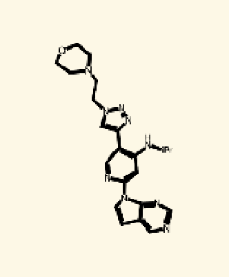 CC(C)Nc1cc(-n2ccc3cncnc32)ncc1-c1cn(CCN2CCOCC2)nn1